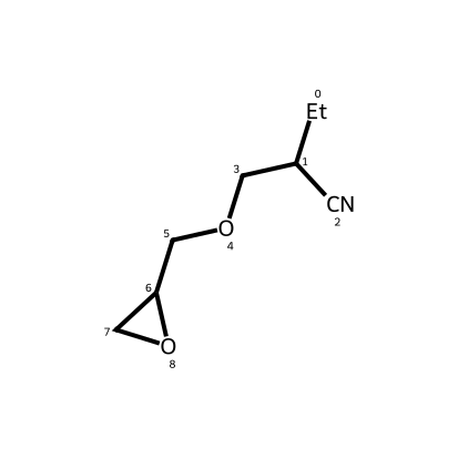 CCC(C#N)COCC1CO1